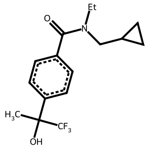 CCN(CC1CC1)C(=O)c1ccc(C(C)(O)C(F)(F)F)cc1